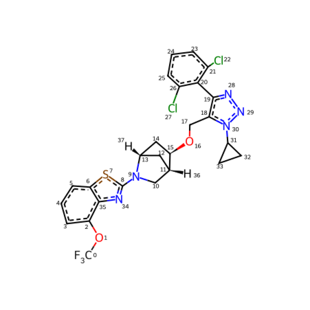 FC(F)(F)Oc1cccc2sc(N3C[C@@H]4C[C@H]3C[C@H]4OCc3c(-c4c(Cl)cccc4Cl)nnn3C3CC3)nc12